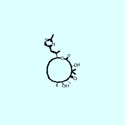 C/C(=C\c1csc(C)n1)[C@@H]1CCCCCC[C@H](C)[C@H](O)[C@@H](C)C(=O)C(C)(C)[C@@H](O)CC(=O)O1